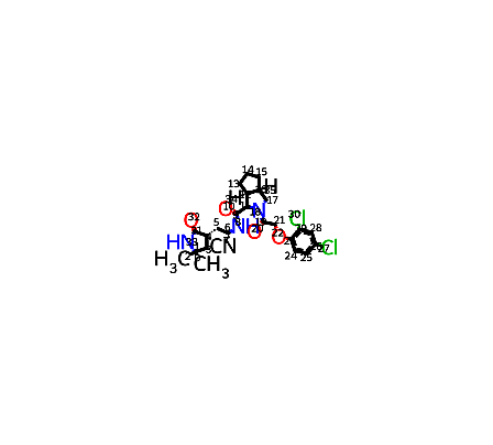 CC1(C)C[C@@H](C[C@@H](C#N)NC(=O)C2[C@H]3CCC[C@H]3CN2C(=O)COc2ccc(Cl)cc2Cl)C(=O)N1